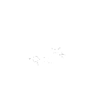 C[C@@]1(O)C(O)[C@@H](COP(=O)(O)OP(=O)(O)OP(=O)(O)O)OC1n1ccc(N)nc1=O